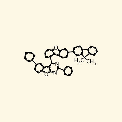 CC1(C)c2ccccc2-c2ccc(-c3ccc4c(c3)oc3cccc(-c5nc(-c6ccccc6)nc6oc7ccc(-c8ccccc8)cc7c56)c34)cc21